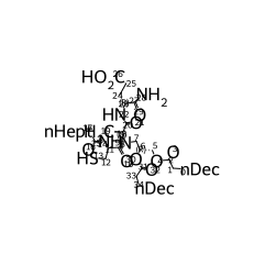 CCCCCCCCCCCC(=O)OC[C@@H](CN(C(=O)C(CS)NC(=O)CCCCCCC)[C@@H](C)C(=O)N[C@H](CCC(=O)O)C(N)=O)OC(=O)CCCCCCCCCCC